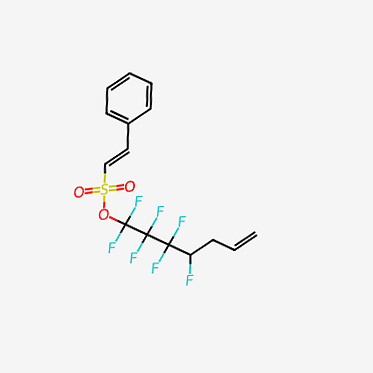 C=CCC(F)C(F)(F)C(F)(F)C(F)(F)OS(=O)(=O)C=Cc1ccccc1